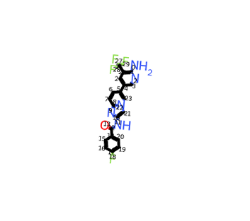 Nc1ncc(-c2ccc3nc(NC(=O)c4ccc(F)cc4)cn3c2)cc1C(F)(F)F